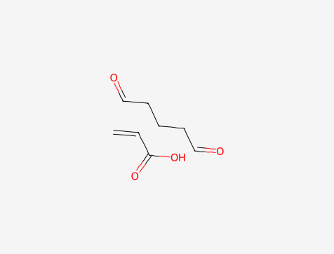 C=CC(=O)O.O=CCCCC=O